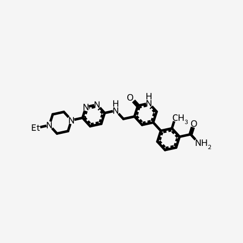 CCN1CCN(c2ccc(NCc3cc(-c4cccc(C(N)=O)c4C)c[nH]c3=O)nn2)CC1